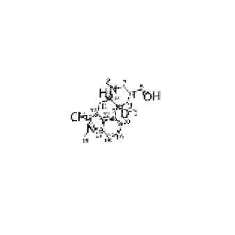 CO[C@]12CC(CO)CN(C)[C@@H]1Cc1c(Cl)n(C)c3cccc2c13